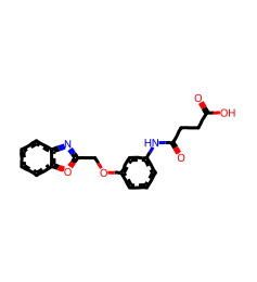 O=C(O)CCC(=O)Nc1cccc(OCc2nc3ccccc3o2)c1